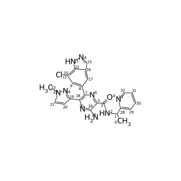 CC(NC(=O)c1nc(-c2cc(Cl)c3[nH]ncc3c2)c(-c2ccn(C)n2)nc1N)c1ccccn1